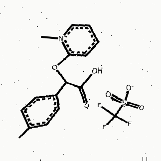 Cc1ccc(C(Oc2cccc[n+]2C)C(=O)O)cc1.O=S(=O)([O-])C(F)(F)F